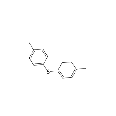 CC1=CC=C(Sc2ccc(C)cc2)CC1